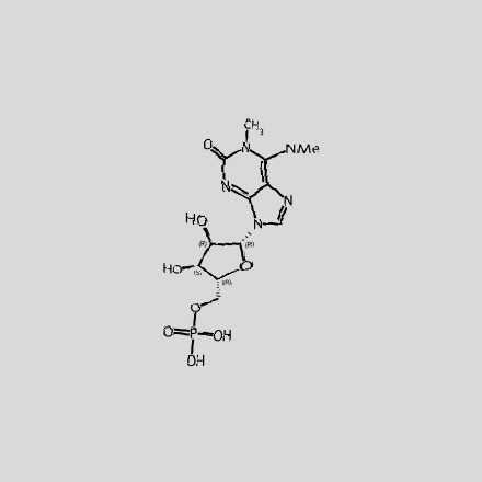 CNc1c2ncn([C@@H]3O[C@H](COP(=O)(O)O)[C@@H](O)[C@H]3O)c2nc(=O)n1C